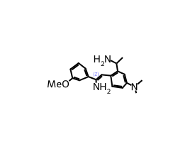 COc1cccc(/C(N)=C/c2ccc(N(C)C)cc2C(C)N)c1